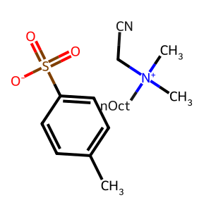 CCCCCCCC[N+](C)(C)CC#N.Cc1ccc(S(=O)(=O)[O-])cc1